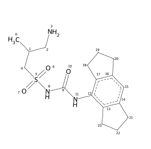 CC(CN)CS(=O)(=O)NC(=O)Nc1c2c(cc3c1CCC3)CCC2